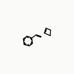 C1=CCC1.C=Cc1ccccc1